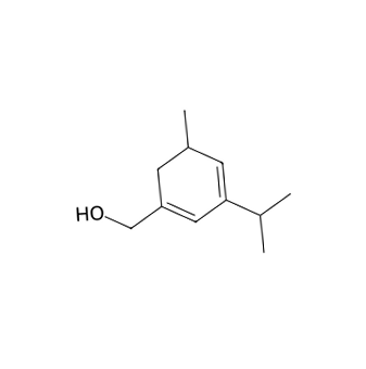 CC1C=C(C(C)C)C=C(CO)C1